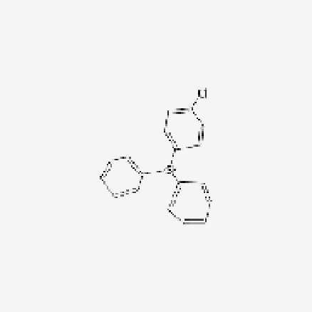 Clc1ccc([Si](c2ccccc2)c2ccccc2)cc1